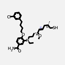 CCN(CCC[C@H](/C=C/C[C@H](C)CS)OC)c1cc(C(N)=O)ccc1OCCCCc1cccc(Cl)c1